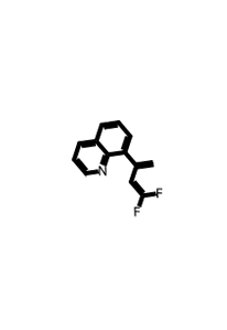 C=C(C=C(F)F)c1cccc2cc[c]nc12